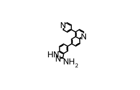 Nc1n[nH]c2ccc(-c3ccc4nccc(-c5ccncc5)c4c3)cc12